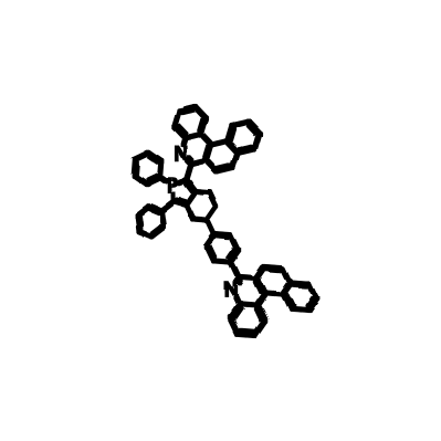 c1ccc(-c2c3c(c(-c4nc5ccccc5c5c4ccc4ccccc45)p2-c2ccccc2)CCC(c2ccc(-c4nc5ccccc5c5c4ccc4ccccc45)cc2)C3)cc1